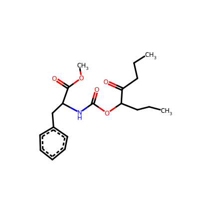 CCCC(=O)C(CCC)OC(=O)NC(Cc1ccccc1)C(=O)OC